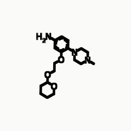 CN1CCN(c2ccc(N)cc2OCCOC2CCCCO2)CC1